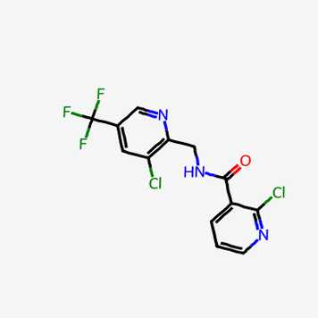 O=C(NCc1ncc(C(F)(F)F)cc1Cl)c1cccnc1Cl